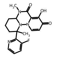 CN1C(=O)c2c(O)c(=O)ccn2N2C1CCCC2(C)c1ncccc1F